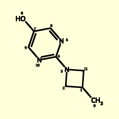 CC1CN(c2ncc(O)cn2)C1